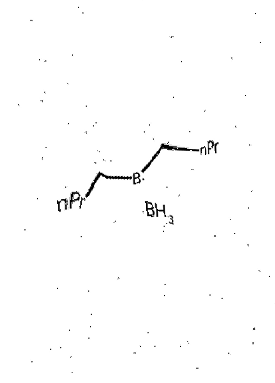 B.CCCC[B]CCCC